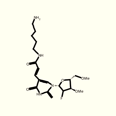 C=C1NC(=O)C(/C=C/C(=O)NCCCCCN)=CN1[C@@H]1O[C@H](COC)[C@@H](OC)C1F